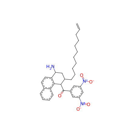 C=CCCCCCCCCCC1CC(N)c2ccc3ccccc3c2C1C(=O)c1cc([N+](=O)[O-])cc([N+](=O)[O-])c1